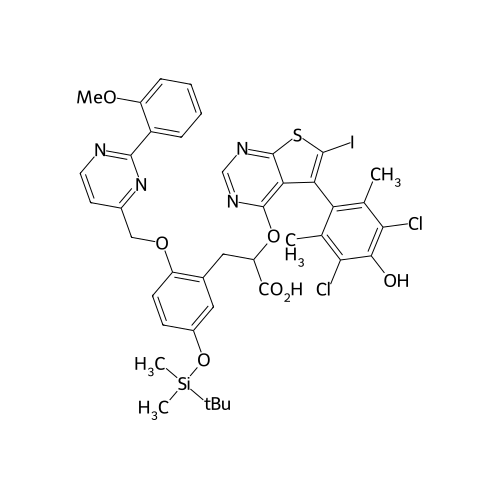 COc1ccccc1-c1nccc(COc2ccc(O[Si](C)(C)C(C)(C)C)cc2CC(Oc2ncnc3sc(I)c(-c4c(C)c(Cl)c(O)c(Cl)c4C)c23)C(=O)O)n1